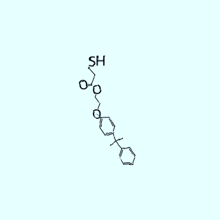 CC(C)(c1ccccc1)c1ccc(OCCOC(=O)CCS)cc1